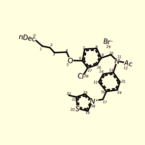 CCCCCCCCCCCCCCOc1ccc(CN(C(C)=O)c2ccc(C[n+]3csc(C)c3)cc2)cc1Cl.[Br-]